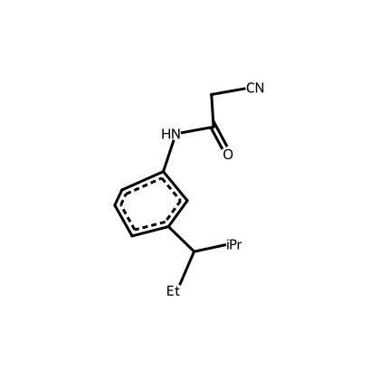 CCC(c1cccc(NC(=O)CC#N)c1)C(C)C